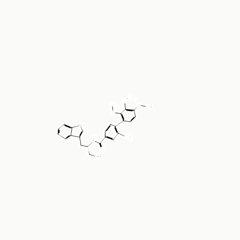 COc1ccc(-c2ccc(C(=O)N[C@@H](CO)Cc3c[nH]c4ccccc34)cc2C)c(OC)c1OC